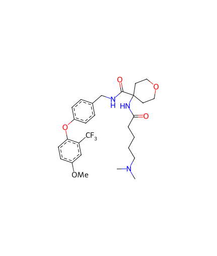 COc1ccc(Oc2ccc(CNC(=O)C3(NC(=O)CCCCN(C)C)CCOCC3)cc2)c(C(F)(F)F)c1